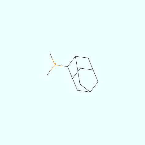 CP(C)C1C2CC3CC(C2)CC1C3